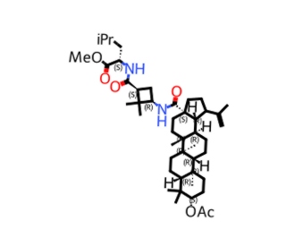 C=C(C)C1CC[C@]2(C(=O)N[C@@H]3C[C@H](C(=O)N[C@@H](CC(C)C)C(=O)OC)C3(C)C)CC[C@]3(C)[C@H](CC[C@@H]4[C@@]5(C)CC[C@H](OC(C)=O)C(C)(C)[C@@H]5CC[C@]43C)[C@@H]12